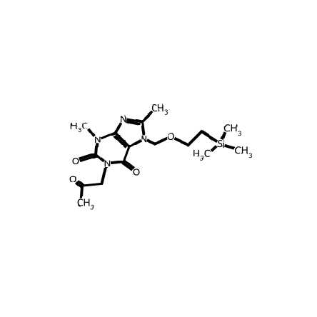 CC(=O)Cn1c(=O)c2c(nc(C)n2COCC[Si](C)(C)C)n(C)c1=O